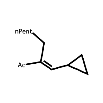 CCCCCCC(=CC1CC1)C(C)=O